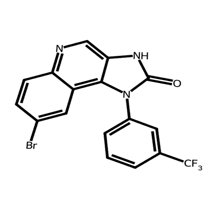 O=c1[nH]c2cnc3ccc(Br)cc3c2n1-c1cccc(C(F)(F)F)c1